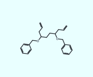 C=CCC(CCC(CC=C)OCc1ccccc1)OCc1ccccc1